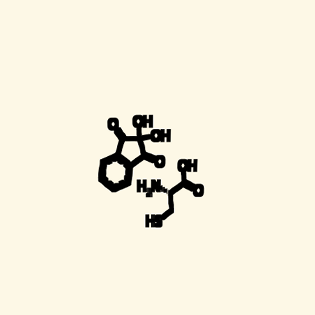 N[C@@H](CS)C(=O)O.O=C1c2ccccc2C(=O)C1(O)O